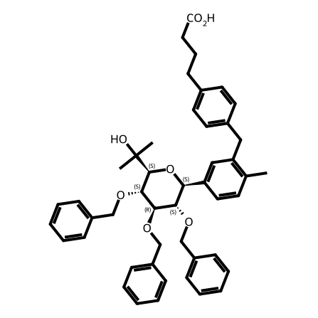 Cc1ccc([C@@H]2O[C@H](C(C)(C)O)[C@@H](OCc3ccccc3)[C@H](OCc3ccccc3)[C@H]2OCc2ccccc2)cc1Cc1ccc(CCCC(=O)O)cc1